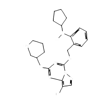 CC(C)c1cnn2c(NCc3ccccc3[S+]([O-])C3CCCC3)nc(OC3CCCNC3)nc12